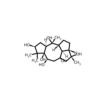 CC1(C)[C@@H](O)C[C@H]2[C@](C)(O)[C@@H]3CC[C@H]4[C@H]3[C@](O)(C[C@@H](O)[C@@]21O)C[C@@]4(C)O